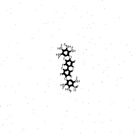 FNc1cc(Oc2c(F)c(F)c(-c3c(F)c(F)c(Oc4cc(NF)c(NF)c(NF)c4NF)c(F)c3F)c(F)c2F)c(NF)c(NF)c1NF